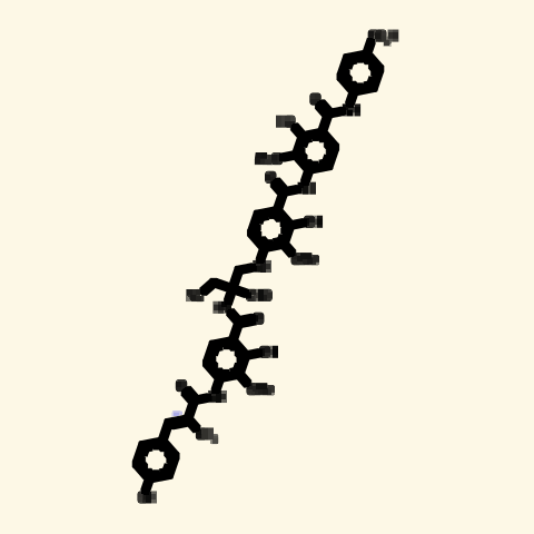 COc1c(NCC(C=O)(CC#N)NC(=O)c2ccc(NC(=O)/C(C)=C/c3ccc(O)cc3)c(OC)c2O)ccc(C(=O)Nc2ccc(C(=O)Nc3ccc(C(=O)O)cc3)c(O)c2OC)c1O